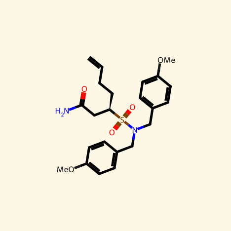 C=CCC[C@H](CC(N)=O)S(=O)(=O)N(Cc1ccc(OC)cc1)Cc1ccc(OC)cc1